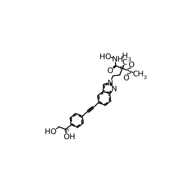 C[C@@](CCn1cc2cc(C#Cc3ccc([C@@H](O)CO)cc3)ccc2n1)(C(=O)NO)S(C)(=O)=O